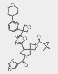 CC1(C)C[C@@H]1C(=O)N1CC2(CN(C(=O)c3cncs3)CC2c2nnc(C3(c4cccc(C5CCOCC5)n4)COC3)o2)C1